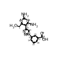 CCc1nc(N)nc(N)c1-c1cn(-c2cccc(C(=O)O)c2)nn1